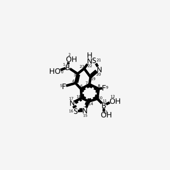 OB(O)C1=C(F)c2c(c(F)c(B(O)O)c3nsnc23)C2=NSNC21